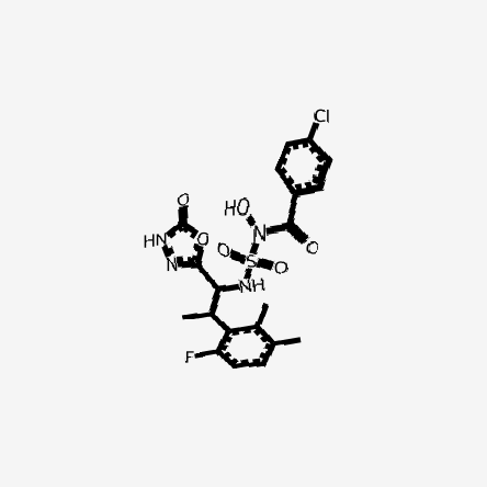 Cc1ccc(F)c(C(C)C(NS(=O)(=O)N(O)C(=O)c2ccc(Cl)cc2)c2n[nH]c(=O)o2)c1C